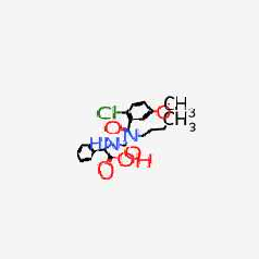 CCCCN(C(=O)NC(C(=O)O)c1ccccc1)C(=O)c1cc(OC)ccc1Cl